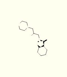 O=c1c2c(on1CC(O)CN1CCOCC1)CCCC2